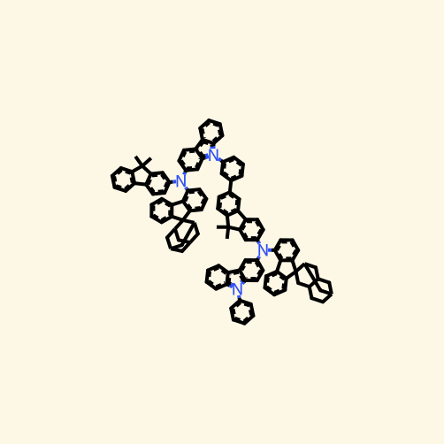 CC1(C)c2ccc(-c3cccc(-n4c5ccccc5c5ccc(N(c6ccc7c(c6)C(C)(C)c6ccccc6-7)c6cccc7c6-c6ccccc6C76C7CC8CC(C7)CC6C8)cc54)c3)cc2-c2ccc(N(c3ccc4c(c3)c3ccccc3n4-c3ccccc3)c3cccc4c3-c3ccccc3C43CC4CCC5CC4CC3C5)cc21